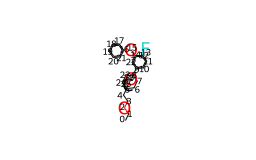 CCOCCC12CCC(c3ccc(F)c(Oc4ccccc4)c3)(CC1)OC2